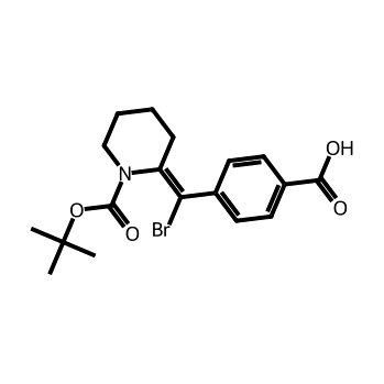 CC(C)(C)OC(=O)N1CCCCC1=C(Br)c1ccc(C(=O)O)cc1